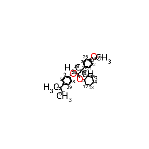 CCC(C)c1ccc(OC(OC2CCCCC2)C(C)(C)c2ccc(OC)cc2)cc1